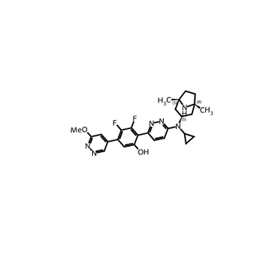 COc1cc(-c2cc(O)c(-c3ccc(N(C4CC4)[C@H]4C[C@]5(C)CC[C@](C)(C4)N5)nn3)c(F)c2F)cnn1